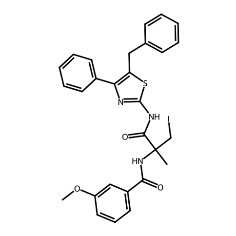 COc1cccc(C(=O)NC(C)(CI)C(=O)Nc2nc(-c3ccccc3)c(Cc3ccccc3)s2)c1